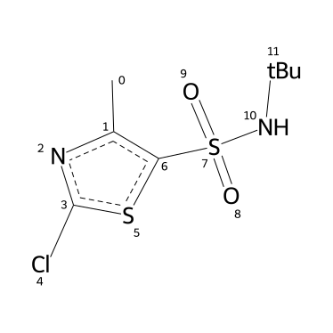 Cc1nc(Cl)sc1S(=O)(=O)NC(C)(C)C